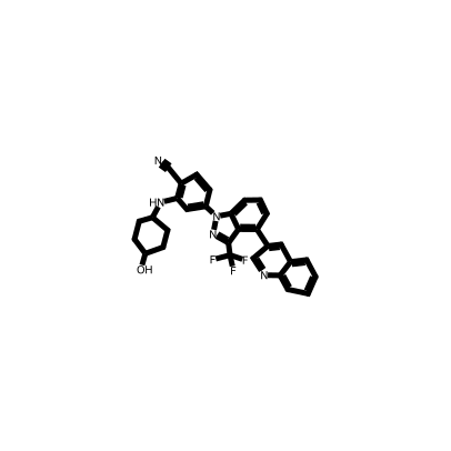 N#Cc1ccc(-n2nc(C(F)(F)F)c3c(-c4cnc5ccccc5c4)cccc32)cc1NC1CCC(O)CC1